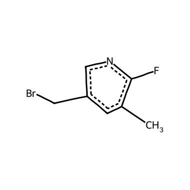 Cc1cc(CBr)cnc1F